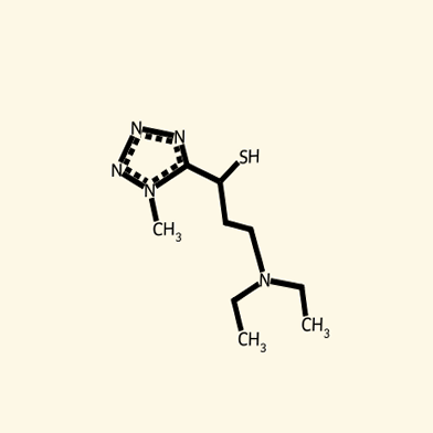 CCN(CC)CCC(S)c1nnnn1C